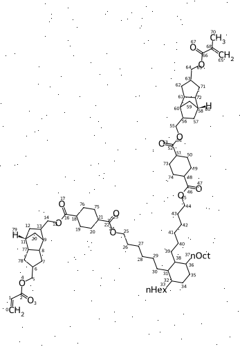 C=CC(=O)OCC1CC2C3C[C@@H](CC3COC(=O)C3CCC(C(=O)OCCCCCCC4C(CCCCCC)CCC(CCCCCCCC)C4CCCCCCOC(=O)C4CCC(C(=O)OCC5C[C@@H]6CC5C5CC(COC(=O)C(=C)C)CC56)CC4)CC3)C2C1